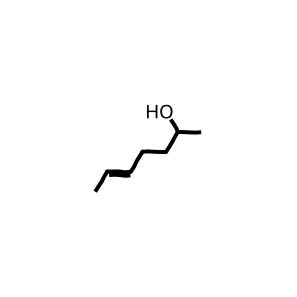 CC=CCCC(C)O